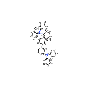 N#Cc1cc(-c2cccc(-n3c4ccccc4c4ccccc43)c2)cc(-c2cccc(C#N)c2N2c3ccccc3C3C=CC=CC32)c1